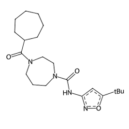 CC(C)(C)c1cc(NC(=O)N2CCCN(C(=O)C3CCCCCC3)CC2)no1